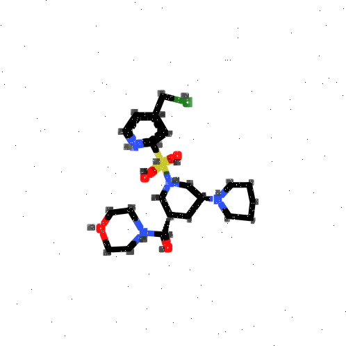 O=C([C@H]1C[C@@H](N2CCCCC2)CN(S(=O)(=O)c2cc(CCl)ccn2)C1)N1CCOCC1